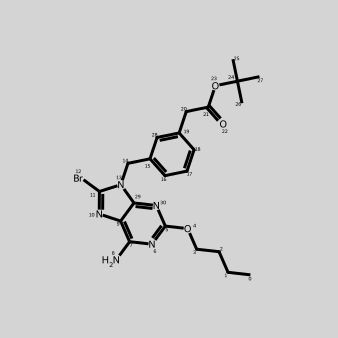 CCCCOc1nc(N)c2nc(Br)n(Cc3cccc(CC(=O)OC(C)(C)C)c3)c2n1